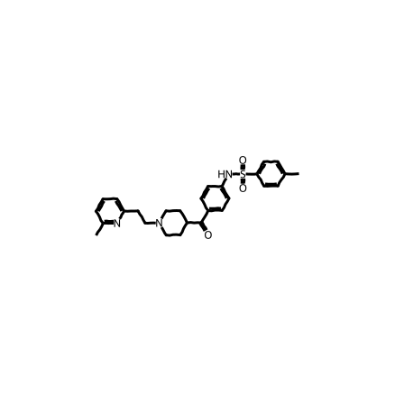 Cc1ccc(S(=O)(=O)Nc2ccc(C(=O)C3CCN(CCc4cccc(C)n4)CC3)cc2)cc1